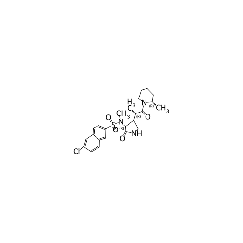 C[C@@H]1CCCCN1C(=O)[C@H](C)C1CNC(=O)[C@@H]1N(C)S(=O)(=O)c1ccc2cc(Cl)ccc2c1